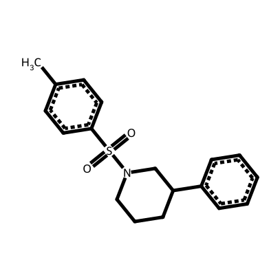 Cc1ccc(S(=O)(=O)N2CCCC(c3ccccc3)C2)cc1